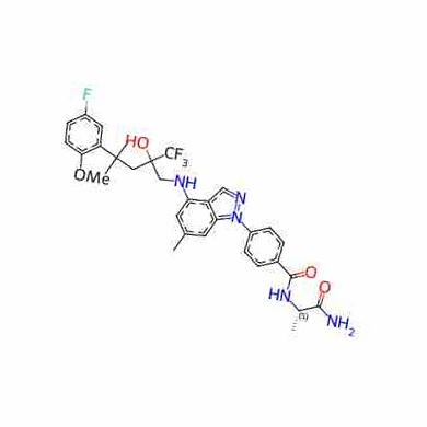 COc1ccc(F)cc1C(C)(C)CC(O)(CNc1cc(C)cc2c1cnn2-c1ccc(C(=O)N[C@@H](C)C(N)=O)cc1)C(F)(F)F